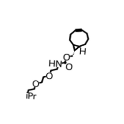 CC(C)CCOCCOCCNC(=O)OC[C@@H]1C2CCC#CCCC[C@@H]21